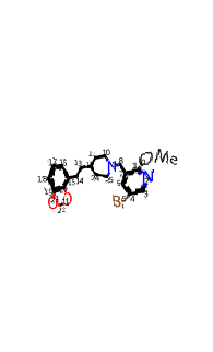 COc1ncc(Br)cc1CN1CCC(CCc2cccc3c2OCO3)CC1